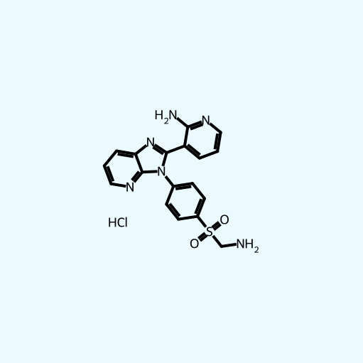 Cl.NCS(=O)(=O)c1ccc(-n2c(-c3cccnc3N)nc3cccnc32)cc1